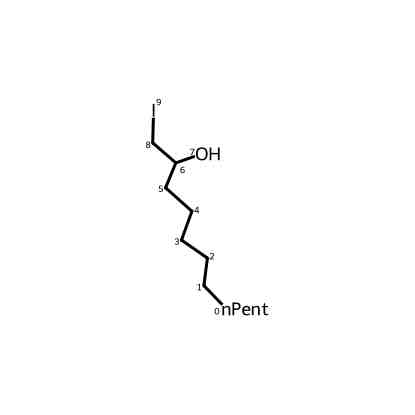 CCCCCCCCCCC(O)CI